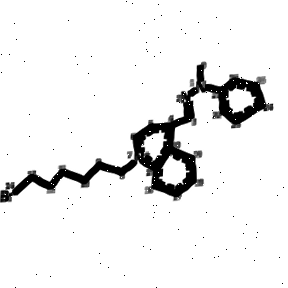 CN(/N=C/c1cc[n+](CCCCCCBr)c2ccccc12)c1ccccc1